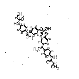 C=CC(=O)Nc1ccc(C(C)c2ccc(OP(=O)(O)Oc3ccc(C(C)c4ccc(NC(=O)C=C)cc4)cc3)cc2)cc1